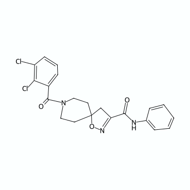 O=C(Nc1ccccc1)C1=NOC2(CCN(C(=O)c3cccc(Cl)c3Cl)CC2)C1